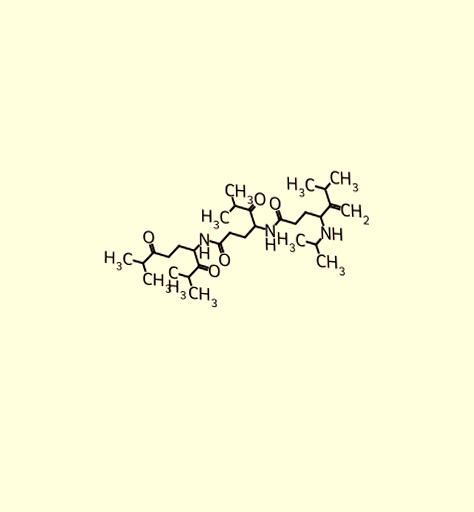 C=C(C(C)C)C(CCC(=O)NC(CCC(=O)NC(CCC(=O)C(C)C)C(=O)C(C)C)C(=O)C(C)C)NC(C)C